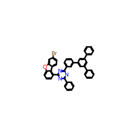 Brc1ccc2c(c1)oc1cccc(-c3nc(-c4ccccc4)nc(-c4cccc(-c5cc(-c6ccccc6)cc(-c6ccccc6)c5)c4)n3)c12